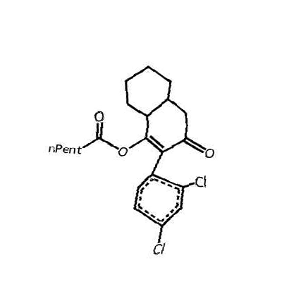 CCCCCC(=O)OC1=C(c2ccc(Cl)cc2Cl)C(=O)CC2CCCCC12